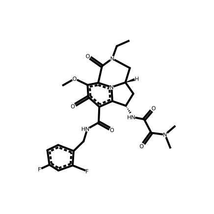 CCN1C[C@@H]2C[C@H](NC(=O)C(=O)N(C)C)c3c(C(=O)NCc4ccc(F)cc4F)c(=O)c(OC)c(n32)C1=O